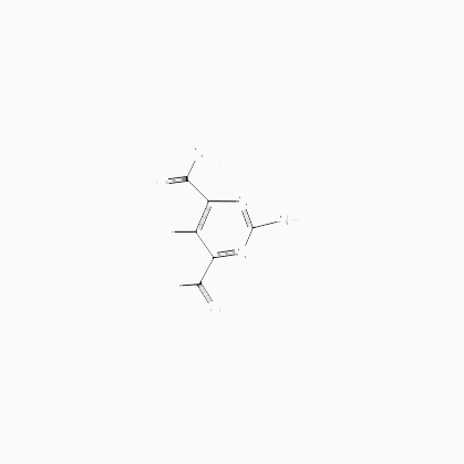 NC(=O)c1nc(N)nc(C(=O)O)c1Cl